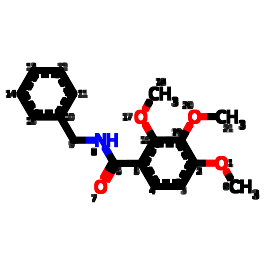 COc1ccc(C(=O)NCc2ccccc2)c(OC)c1OC